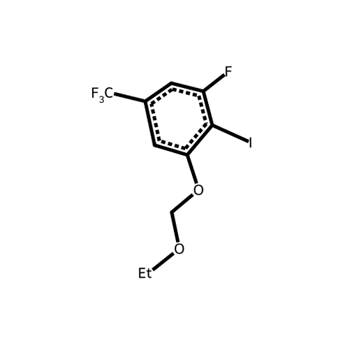 CCOCOc1cc(C(F)(F)F)cc(F)c1I